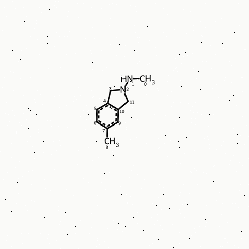 CNN1Cc2ccc(C)cc2C1